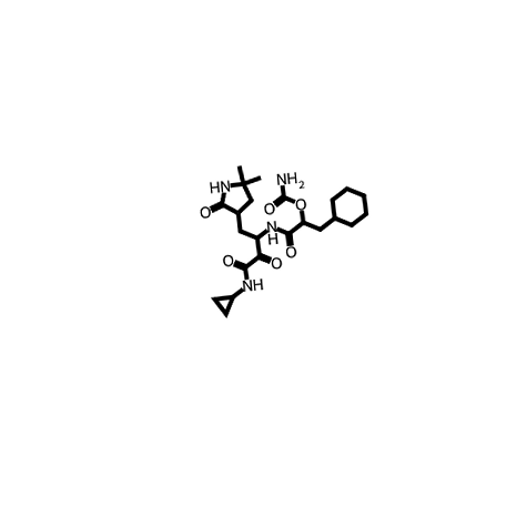 CC1(C)CC(CC(NC(=O)C(CC2CCCCC2)OC(N)=O)C(=O)C(=O)NC2CC2)C(=O)N1